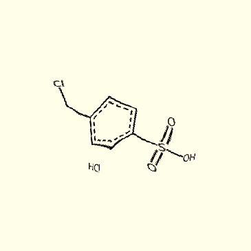 Cl.O=S(=O)(O)c1ccc(CCl)cc1